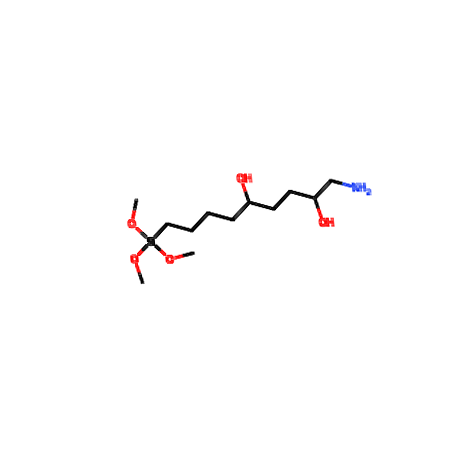 CO[Si](CCCCC(O)CCC(O)CN)(OC)OC